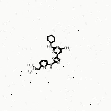 Cc1cc(-c2cnc(Nc3cccc(CN(C)C)n3)s2)nc(NC2CCCCC2)n1